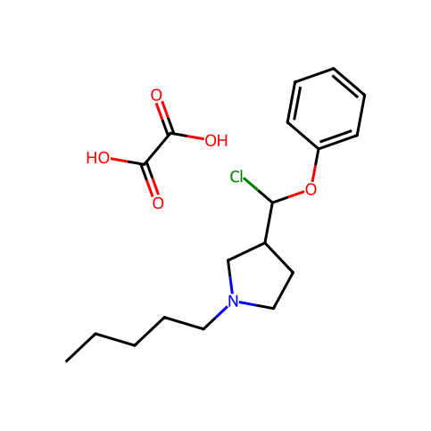 CCCCCN1CCC(C(Cl)Oc2ccccc2)C1.O=C(O)C(=O)O